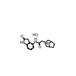 Cl.O=C1Cc2c(cccc2NC(=O)CN2CC3CCC(C2)N3)N1